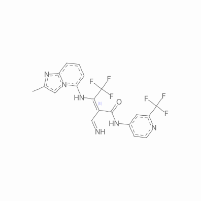 Cc1cn2c(N/C(=C(\C=N)C(=O)Nc3ccnc(C(F)(F)F)c3)C(F)(F)F)cccc2n1